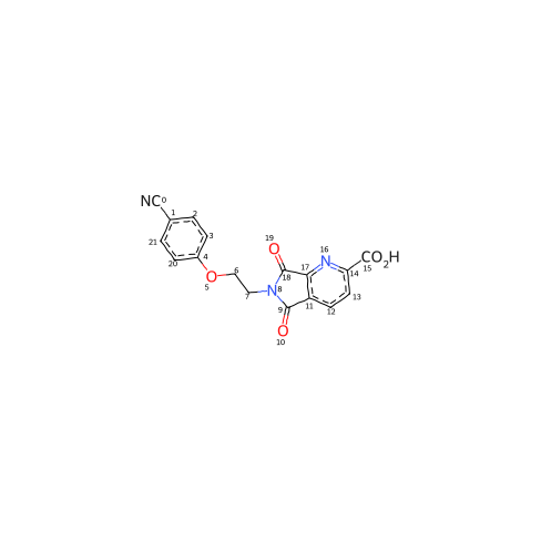 N#Cc1ccc(OCCN2C(=O)c3ccc(C(=O)O)nc3C2=O)cc1